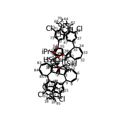 CC(C)C1=CC2=C(C=CC=CC2c2cc(Cl)c([Si](C)(C)C)c(Cl)c2)[C]12[SiH](C)[C]1(C(C(C)C)=CC3=C1C=CC=CC3c1cc(Cl)c([Si](C)(C)C)c(Cl)c1)[Hf]21([Cl])([Cl])[C]2(C(C(C)C)=CC3=C2C=CC=CC3c2cc(Cl)c([Si](C)(C)C)c(Cl)c2)[SiH](C)[C]12C(C(C)C)=CC1=C2C=CC=CC1c1cc(Cl)c([Si](C)(C)C)c(Cl)c1